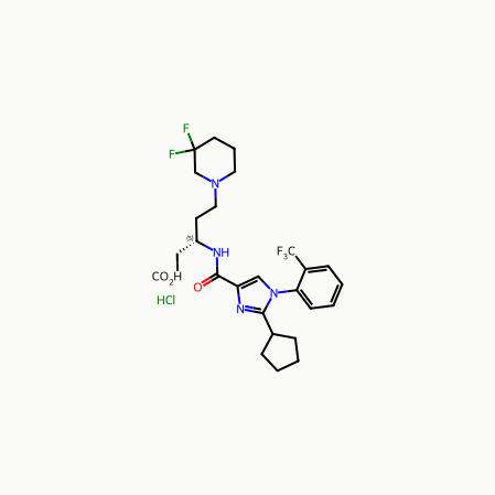 Cl.O=C(O)C[C@H](CCN1CCCC(F)(F)C1)NC(=O)c1cn(-c2ccccc2C(F)(F)F)c(C2CCCC2)n1